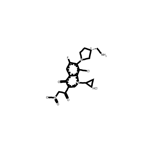 Cl.NC[C@H]1CCN(c2c(F)cc3c(=O)c(C(=O)C[N+](=O)[O-])cn(C4CC4)c3c2Cl)C1